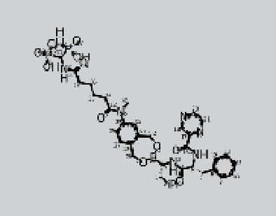 CC(C)C[C@@H](NC(=O)[C@@H](Cc1ccccc1)NC(=O)c1cnccn1)B1OCc2ccc(N(C)C(=O)CCCCC(=O)NC(P(=O)(O)O)P(=O)(O)O)cc2CO1